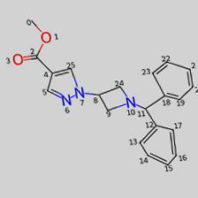 COC(=O)c1cnn(C2CN(C(c3ccccc3)c3ccccc3)C2)c1